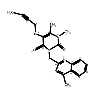 CC#CCNc1c(N)n(C)c(=O)n(Cc2nc(C)c3ccccc3n2)c1=O